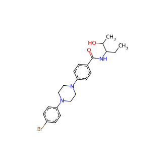 CCC(NC(=O)c1ccc(N2CCN(c3ccc(Br)cc3)CC2)cc1)C(C)O